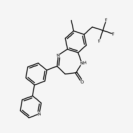 Cc1cc2c(cc1CC(F)(F)F)NC(=O)CC(c1cccc(-c3cccnc3)c1)=N2